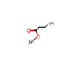 CCCCCC(=O)[O][Sn]